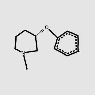 CN1CCC[C@H](Oc2cc[c]cc2)C1